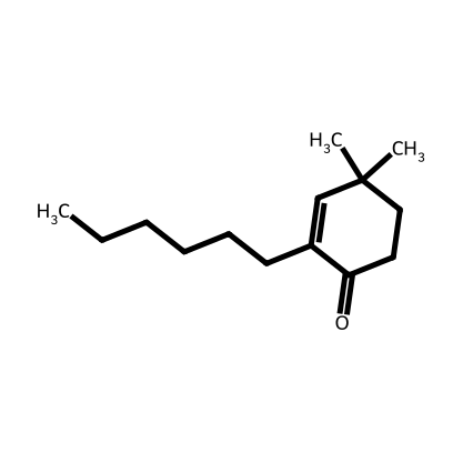 CCCCCCC1=CC(C)(C)CCC1=O